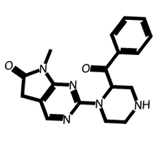 CN1C(=O)Cc2cnc(N3CCNCC3C(=O)c3ccccc3)nc21